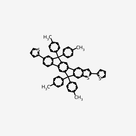 Cc1ccc(C2(c3ccc(C)cc3)c3cc(-c4cccs4)ccc3-c3cc4c(cc32)-c2cc3cc(-c5cccs5)sc3cc2C4(c2ccc(C)cc2)c2ccc(C)cc2)cc1